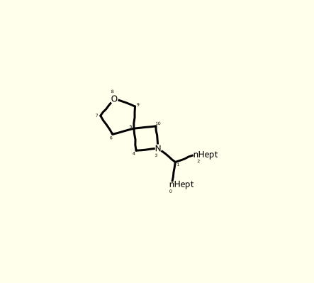 CCCCCCCC(CCCCCCC)N1CC2(CCOC2)C1